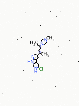 C=C/C(=C\C=C(/C)c1cnc2[nH]c3c(c2c1)C=C(Cl)NC3)N1CCN(C)CC1